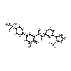 CC(C)n1cnnc1-c1cccc(NC(=O)c2cc(-c3ccc(C(C)(C)O)cc3)cn(C)c2=O)n1